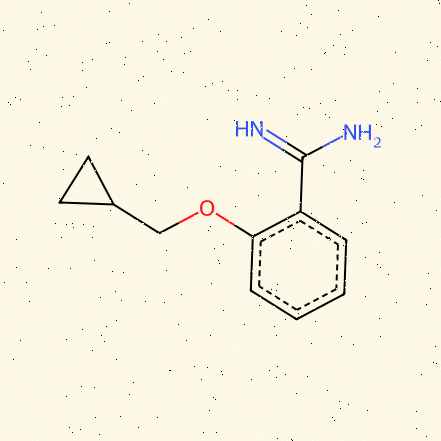 N=C(N)c1ccccc1OCC1CC1